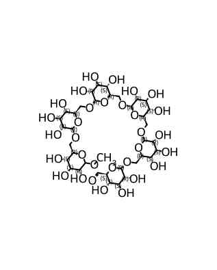 COC1O[C@H](CO[C@@H]2O[C@H](CO[C@@H]3O[C@H](CO[C@@H]4O[C@H](CO[C@@H]5O[C@H](CO[C@@H]6O[C@H](C=O)[C@@H](O)[C@H](O)[C@H]6O)[C@@H](O)[C@H](O)[C@H]5O)[C@@H](O)[C@H](O)[C@H]4O)[C@@H](O)[C@H](O)[C@H]3O)[C@@H](O)[C@H](O)[C@H]2O)[C@@H](O)[C@H](O)[C@H]1O